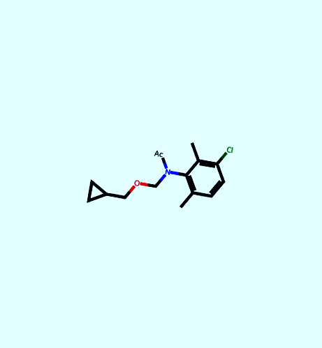 CC(=O)N(COCC1CC1)c1c(C)ccc(Cl)c1C